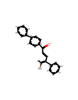 CC(Br)=C(C=CC(=O)c1ccc(-c2ccccc2)cc1)c1ccccc1